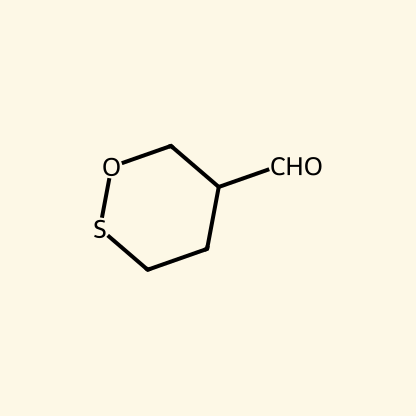 O=CC1CCSOC1